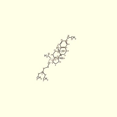 CCN(CC)CCO[C@H]1CC[C@H]2[C@@H]3CCc4cc(OC)ccc4[C@H]3CC[C@]12CC